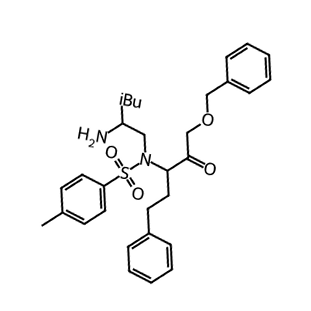 CCC(C)C(N)CN(C(CCc1ccccc1)C(=O)COCc1ccccc1)S(=O)(=O)c1ccc(C)cc1